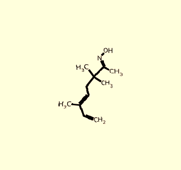 C=CC(C)=CCC(C)(C)C(C)=NO